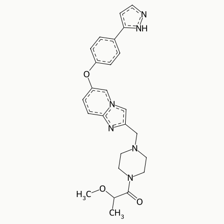 COC(C)C(=O)N1CCN(Cc2cn3cc(Oc4ccc(-c5ccn[nH]5)cc4)ccc3n2)CC1